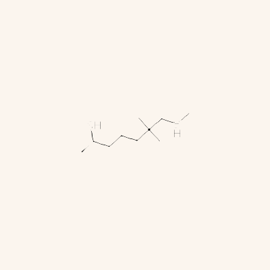 CBCC(C)(C)[C@H](C)CC[C@@H](C)S